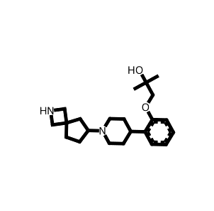 CC(C)(O)COc1ccccc1C1CCN(C2CCC3(CNC3)C2)CC1